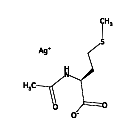 CSCC[C@H](NC(C)=O)C(=O)[O-].[Ag+]